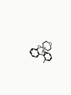 CCC[N+]1(Oc2ccccc2-c2ccccc2C)CCOCC1